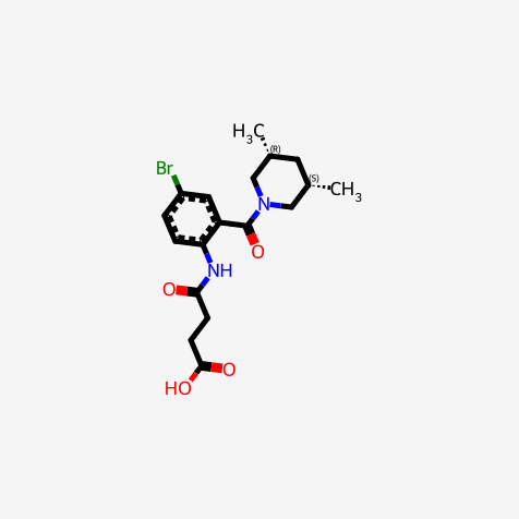 C[C@@H]1C[C@H](C)CN(C(=O)c2cc(Br)ccc2NC(=O)CCC(=O)O)C1